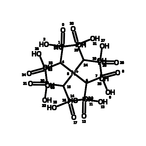 O=P(O)(O)C([N+](C(P(=O)(O)O)P(=O)(O)O)(C(P(=O)(O)O)P(=O)(O)O)C(P(=O)(O)O)P(=O)(O)O)P(=O)(O)O